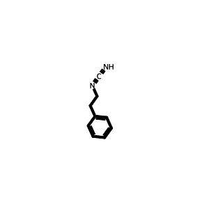 N=C=NCCc1ccccc1